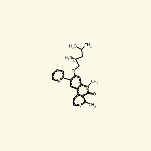 Cc1nccc2c1c(=O)n(C)c1cc(OC[C@@H](N)CC(C)C)c(-c3ccccn3)cc21